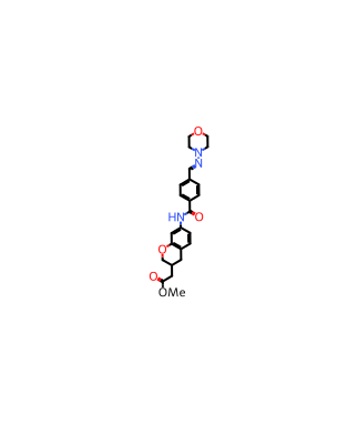 COC(=O)CC1COc2cc(NC(=O)c3ccc(/C=N/N4CCOCC4)cc3)ccc2C1